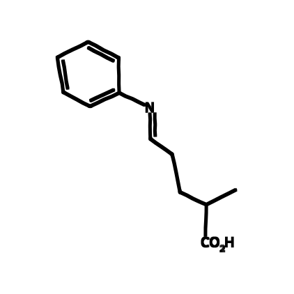 CC(CCC=Nc1ccccc1)C(=O)O